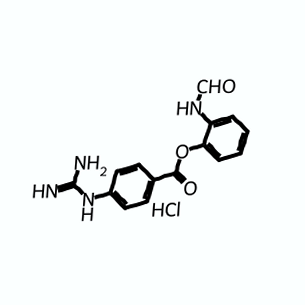 Cl.N=C(N)Nc1ccc(C(=O)Oc2ccccc2NC=O)cc1